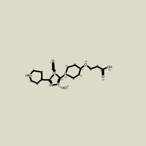 Cl.O=C=S1C(C2CCNCC2)=NN=C1N1CCC(OCCC(=O)O)CC1